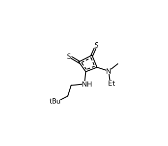 CCN(C)c1c(NCCC(C)(C)C)c(=S)c1=S